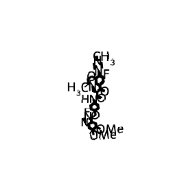 COc1cc2ncnc(Oc3ccc(NC(=O)c4cn5c6c(c(N7CCN(C)CC7)c(F)cc6c4=O)OC[C@@H]5C)cc3F)c2cc1OC